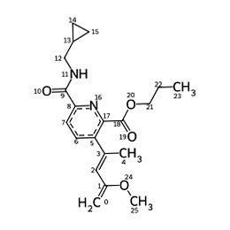 C=C(/C=C(\C)c1ccc(C(=O)NCC2CC2)nc1C(=O)OCCC)OC